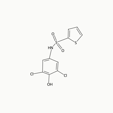 O=S(=O)(Nc1cc(Cl)c(O)c(Cl)c1)c1cccs1